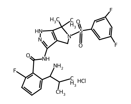 CC(C)C(N)c1cccc(F)c1C(=O)Nc1n[nH]c2c1CN(S(=O)(=O)c1cc(F)cc(F)c1)C2(C)C.Cl